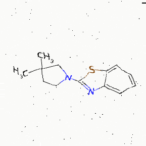 CC1(C)C[CH]N(c2nc3ccccc3s2)C1